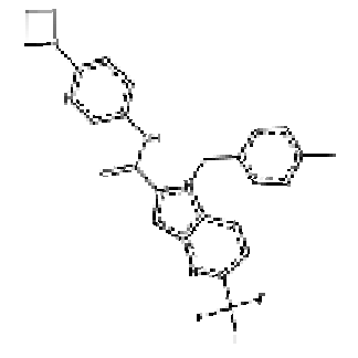 Cc1ccc(Cn2c(C(=O)Nc3ccc(N4CCC4)nc3)cc3nc(C(F)(F)F)ccc32)cc1